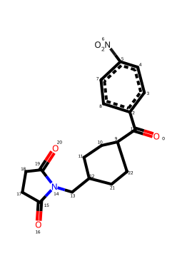 O=C(c1ccc([N+](=O)[O-])cc1)C1CCC(CN2C(=O)CCC2=O)CC1